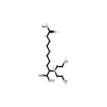 CCCCCCCCC(O)C(CCCCCCCC(=O)OC)N(CCO)CCO